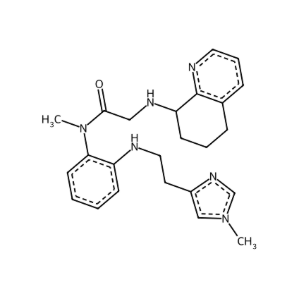 CN(C(=O)CNC1CCCc2cccnc21)c1ccccc1NCCc1cn(C)cn1